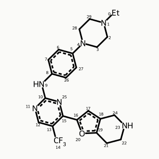 CCN1CCN(c2ccc(Nc3ncc(C(F)(F)F)c(-c4cc5c(o4)CCNC5)n3)cc2)CC1